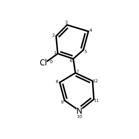 Clc1[c]cccc1-c1ccncc1